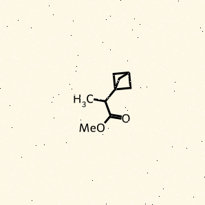 COC(=O)C(C)C12CC(C1)C2